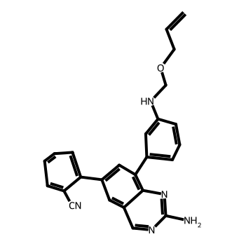 C=CCOCNc1cccc(-c2cc(-c3ccccc3C#N)cc3cnc(N)nc23)c1